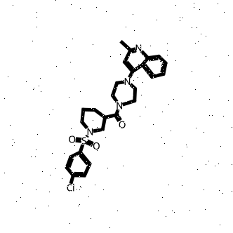 Cc1cc(N2CCN(C(=O)C3CCCN(S(=O)(=O)c4ccc(Cl)cc4)C3)CC2)c2ccccc2n1